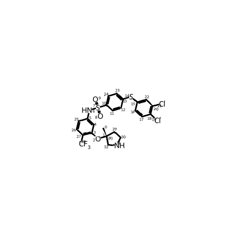 C[C@@]1(Oc2cc(NS(=O)(=O)c3ccc(Sc4ccc(Cl)c(Cl)c4)cc3)ccc2C(F)(F)F)CCNC1